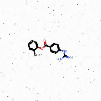 CC(=O)Nc1ccccc1OC(=O)c1ccc(NC(=N)N)cc1